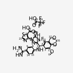 COc1cc(C(Nc2ccc(C(=N)N)cc2)c2nn(-c3ncsc3C(=O)O)c(=O)[nH]2)c(F)c2c1OCOC2.O=C(O)C(F)(F)F